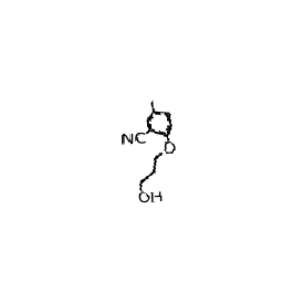 Cc1ccc(OCCCO)c(C#N)c1